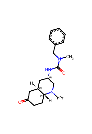 CCCN1C[C@@H](NC(=O)N(C)Cc2ccccc2)C[C@@H]2CC(=O)CC[C@H]21